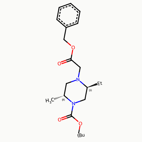 CC[C@H]1CN(C(=O)OC(C)(C)C)[C@H](C)CN1CC(=O)OCc1ccccc1